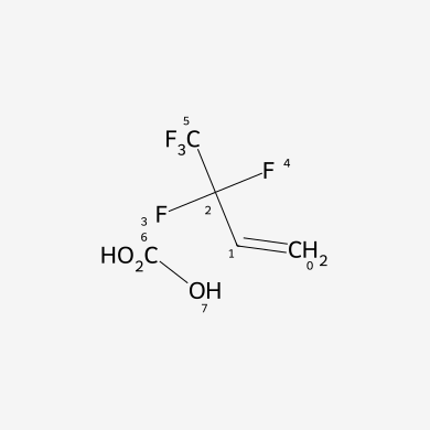 C=CC(F)(F)C(F)(F)F.O=C(O)O